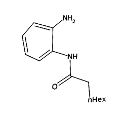 CCCCCCCC(=O)Nc1ccccc1N